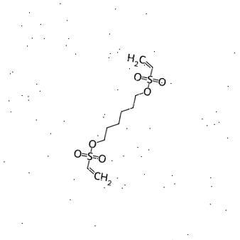 C=CS(=O)(=O)OCCCCCCOS(=O)(=O)C=C